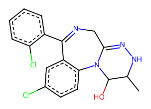 CC1NN=C2CN=C(c3ccccc3Cl)c3cc(Cl)ccc3N2C1O